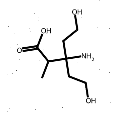 CC(C(=O)O)C(N)(CCO)CCO